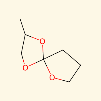 CC1COC2(CCCO2)O1